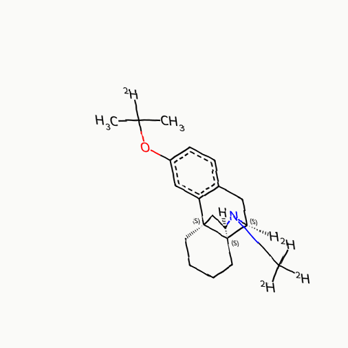 [2H]C(C)(C)Oc1ccc2c(c1)[C@]13CCCC[C@@H]1[C@H](C2)N(C([2H])([2H])[2H])CC3